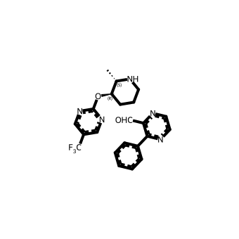 C[C@@H]1NCCC[C@H]1Oc1ncc(C(F)(F)F)cn1.O=Cc1nccnc1-c1ccccc1